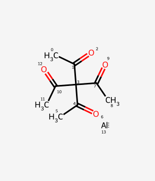 CC(=O)C(C(C)=O)(C(C)=O)C(C)=O.[Al]